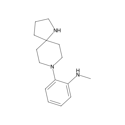 CNc1ccccc1N1CCC2(CCCN2)CC1